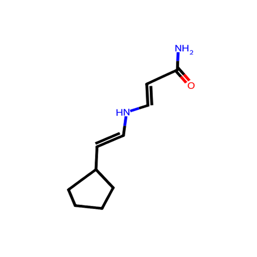 NC(=O)C=CNC=CC1CCCC1